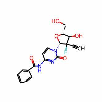 C#C[C@@]1(F)[C@H](O)[C@@H](CO)O[C@H]1n1ccc(NC(=O)c2ccccc2)nc1=O